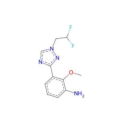 COc1c(N)cccc1-c1ncn(CC(F)F)n1